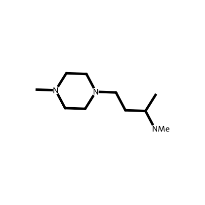 CNC(C)CCN1CCN(C)CC1